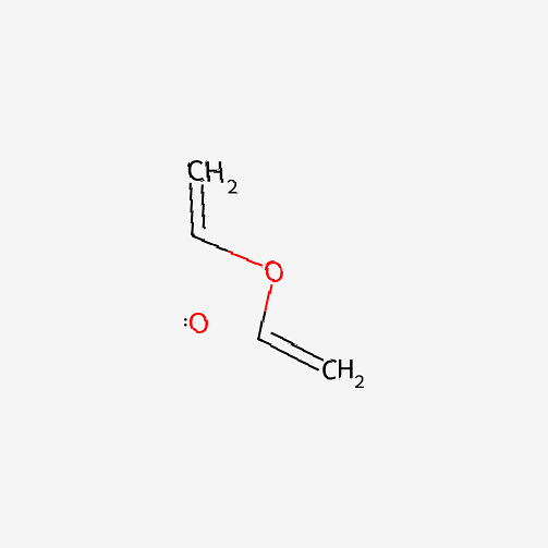 C=COC=C.[O]